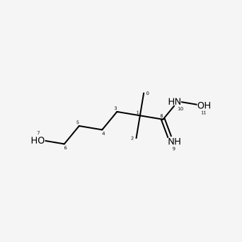 CC(C)(CCCCO)C(=N)NO